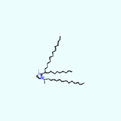 CCCCCCCCCCCCCC(CCCCCCCCC)c1[nH]cc[n+]1C(C)CCCCCCCCCCCCC